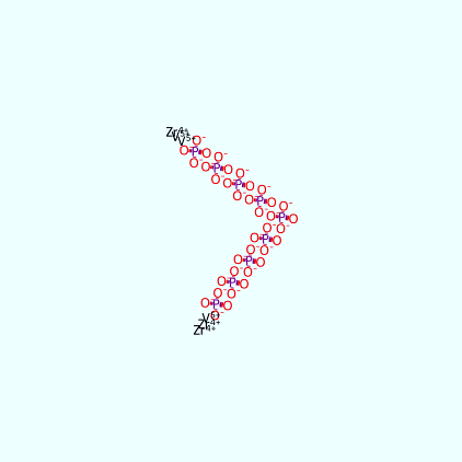 O=P([O-])([O-])[O-].O=P([O-])([O-])[O-].O=P([O-])([O-])[O-].O=P([O-])([O-])[O-].O=P([O-])([O-])[O-].O=P([O-])([O-])[O-].O=P([O-])([O-])[O-].O=P([O-])([O-])[O-].O=P([O-])([O-])[O-].[V+5].[V+5].[V+5].[Zr+4].[Zr+4].[Zr+4]